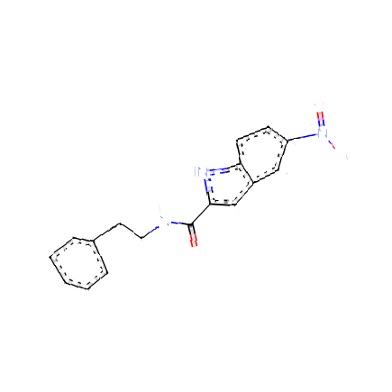 O=C(NCCc1ccccc1)c1cc2cc([N+](=O)[O-])ccc2[nH]1